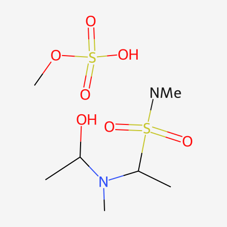 CNS(=O)(=O)C(C)N(C)C(C)O.COS(=O)(=O)O